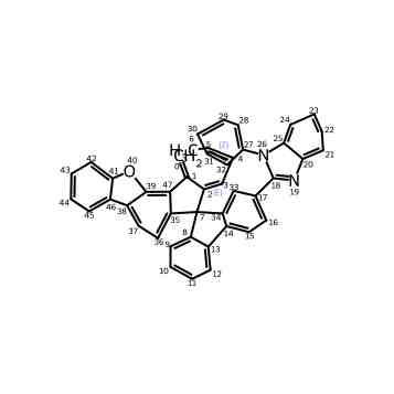 C=C1/C(=C\C=C/C)C2(c3ccccc3-c3ccc(-c4nc5ccccc5n4-c4ccccc4)cc32)c2ccc3c(oc4ccccc43)c21